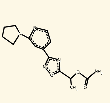 CC(OC(N)=O)c1nc(-c2ccnc(N3CCCC3)c2)no1